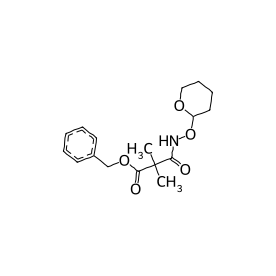 CC(C)(C(=O)NOC1CCCCO1)C(=O)OCc1ccccc1